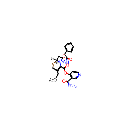 CC(=O)OCC1=C(C(=O)Oc2ccncc2C(N)=O)[N+]2(NC(=O)Cc3ccccc3)C(=O)C[C@H]2SC1